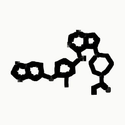 C=CC(=O)N1CCCN(c2ccn3ncnc(Nc4ccc(Oc5ccn6ncnc6c5)c(C)c4)c23)CC1